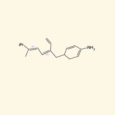 C=C/C(=C\C=C(/C)C(C)C)CC1C=CC(N)=CC1